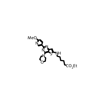 CCOC(=O)CCCCCNc1cc2nc(-c3ccc(OC)nc3)nc(N3CCOCC3)c2s1